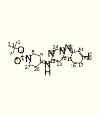 CC(C)(C)OC(=O)N1CCC(Nc2cc3c4ccc(F)cc4nn3cn2)CC1